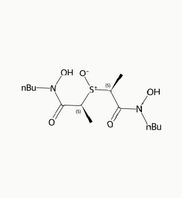 CCCCN(O)C(=O)[C@H](C)[S+]([O-])[C@@H](C)C(=O)N(O)CCCC